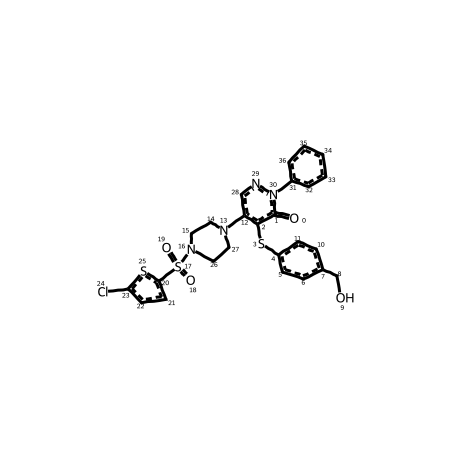 O=c1c(Sc2ccc(CO)cc2)c(N2CCN(S(=O)(=O)c3ccc(Cl)s3)CC2)cnn1-c1ccccc1